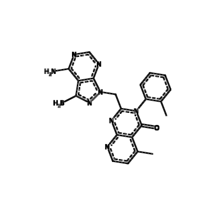 Bc1nn(Cc2nc3nccc(C)c3c(=O)n2-c2ccccc2C)c2ncnc(N)c12